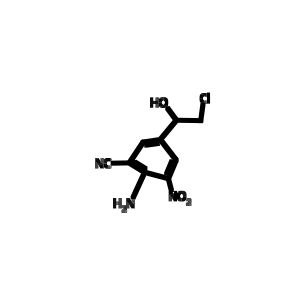 N#Cc1cc(C(O)CCl)cc([N+](=O)[O-])c1N